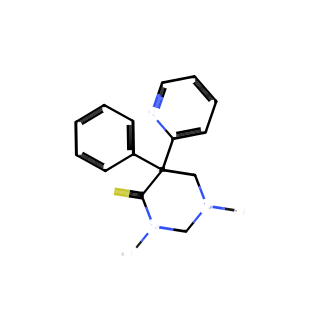 CCCCN1CN(CCC)C(=S)C(c2ccccc2)(c2ccccn2)C1